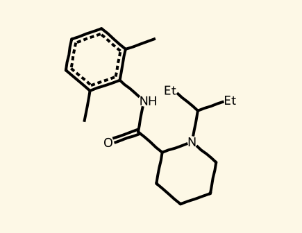 CCC(CC)N1CCCCC1C(=O)Nc1c(C)cccc1C